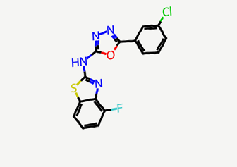 Fc1cccc2sc(Nc3nnc(-c4cccc(Cl)c4)o3)nc12